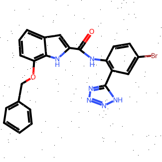 O=C(Nc1ccc(Br)cc1-c1nnn[nH]1)c1cc2cccc(OCc3ccccc3)c2[nH]1